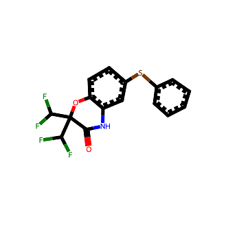 O=C1Nc2cc(Sc3ccccc3)ccc2OC1(C(F)F)C(F)F